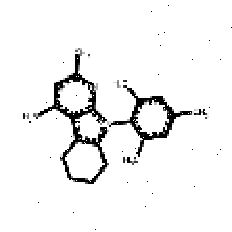 Cc1cc(C)c(-n2c3c(c4c(N)cc(C)nc42)CCCC3)c(C)c1